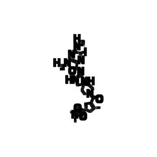 CC1=C(C(=O)N2CCC3(CC2)CN/C(=N\C(=O)c2nc(I)c(N)nc2N)N3)C=C(S(=O)(=O)N(C)C)C1